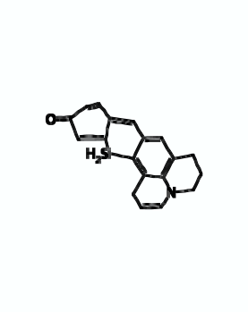 O=C1C=CC2=Cc3cc4c5c(c3[SiH2]C2=C1)CC=CN5CCC4